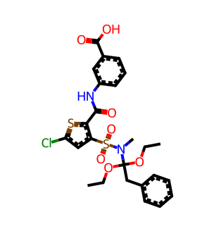 CCOC(Cc1ccccc1)(OCC)N(C)S(=O)(=O)c1cc(Cl)sc1C(=O)Nc1cccc(C(=O)O)c1